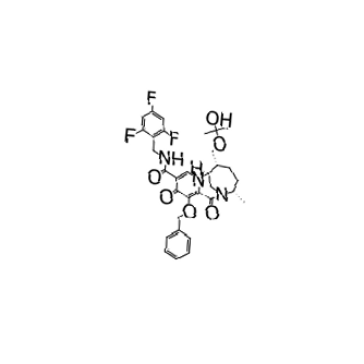 C[C@H]1CC[C@@H](COC(C)(C)O)[C@H]2CN1C(=O)c1c(OCc3ccccc3)c(=O)c(C(=O)NCc3c(F)cc(F)cc3F)cn12